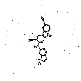 N#C/C(=C/c1c[nH]c2ccc(C#N)cc12)C(=O)Nc1ccc2c(c1)S(=O)(=O)C=C2